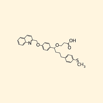 CSc1ccc(CCCC(OCCC(=O)O)c2ccc(OCc3ccc4ccccc4n3)cc2)cc1